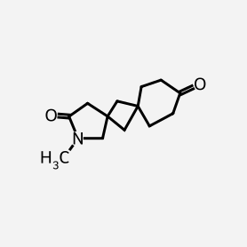 CN1CC2(CC1=O)CC1(CCC(=O)CC1)C2